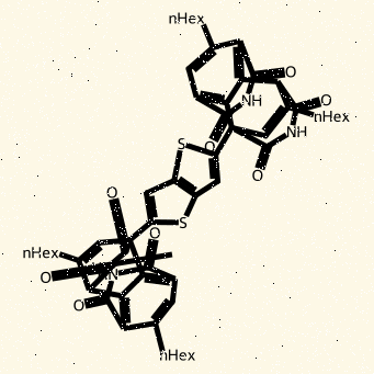 CCCCCCC1=CC2(c3cc4sc(C56C=C(CCCCCC)C(C(=O)NC5=O)c5c6c6cc(CCCCCC)c5c(=O)[nH]c6=O)cc4s3)C(=O)NC(=O)C1c1c2c2cc(CCCCCC)c1c(=O)[nH]c2=O